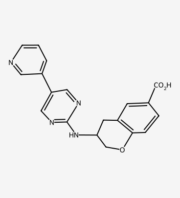 O=C(O)c1ccc2c(c1)CC(Nc1ncc(-c3cccnc3)cn1)CO2